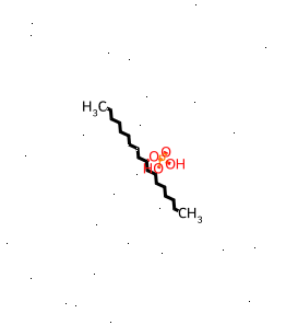 CCCCCCCCCC(CCCCCCCC)OP(=O)(O)O